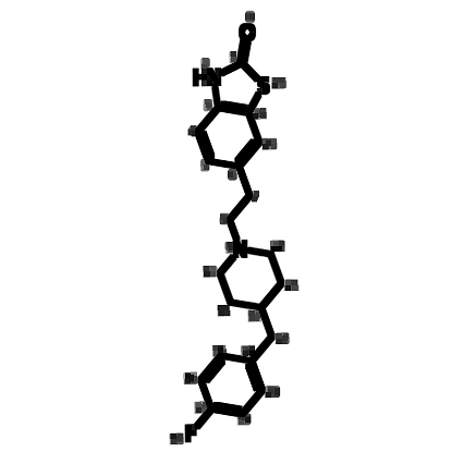 O=c1[nH]c2ccc(CCN3CCC(Cc4ccc(F)cc4)CC3)cc2s1